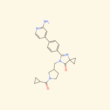 Nc1cc(-c2ccc(C3=NC4(CC4)C(=O)N3CC3CCN(C(=O)C4CC4)C3)cc2)ccn1